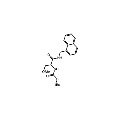 COC[C@H](NC(=O)OC(C)(C)C)C(=O)NCc1cccc2ccccc12